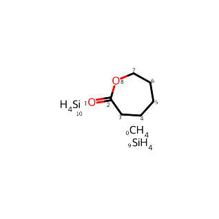 C.O=C1CCCCCO1.[SiH4].[SiH4]